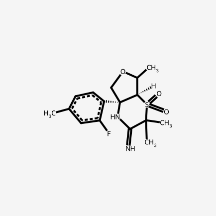 Cc1ccc([C@]23COC(C)[C@H]2S(=O)(=O)C(C)(C)C(=N)N3)c(F)c1